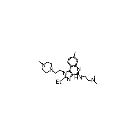 CCc1nc2c(NCCN(C)C)nc3cc(C)ccc3c2n1CCN1CCN(C)CC1